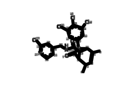 CC1=CC(C)C2C(=O)N(c3cc(Cl)c(Cl)c(Cl)c3)C1C2C(=O)NCc1ccnc(Cl)c1